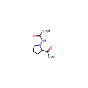 CCCCCCCC(=O)NN1CCCC1C(=O)OC